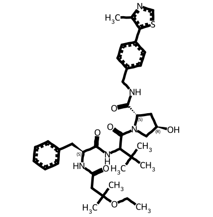 CCOC(C)(C)CC(=O)N[C@@H](Cc1ccccc1)C(=O)NC(C(=O)N1C[C@H](O)C[C@H]1C(=O)NCc1ccc(-c2scnc2C)cc1)C(C)(C)C